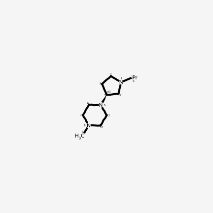 CC(C)N1CC[C@H](N2CCN(C)CC2)C1